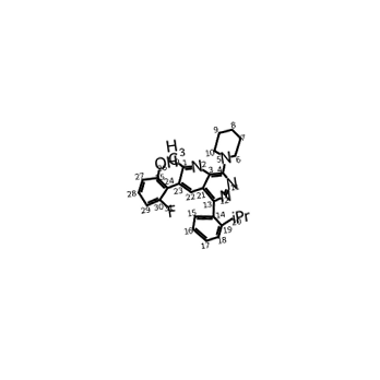 Cc1nc2c(N3CCCCC3)nnc(-c3ccccc3C(C)C)c2cc1-c1c(O)cccc1F